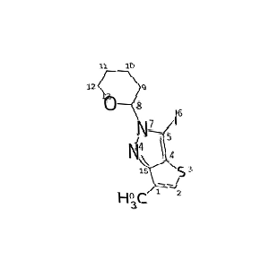 Cc1csc2c(I)n(C3CCCCO3)nc12